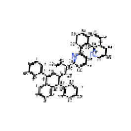 c1ccc(-c2c3ccccc3c(-c3ccccc3)c3cc(-c4cccc(-c5cccc6ccc7cccnc7c56)n4)ccc23)cc1